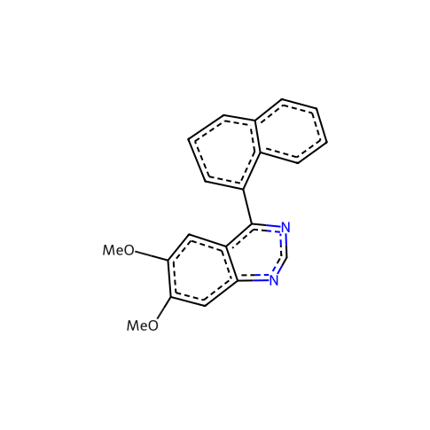 COc1cc2ncnc(-c3cccc4ccccc34)c2cc1OC